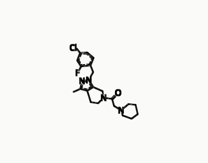 Cc1nn(Cc2ccc(Cl)cc2F)c2c1CCN(C(=O)CN1CCCCC1)C2